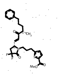 COC(=O)c1ccc(CCCN2C(=O)C(F)(F)C[C@@H]2C=CC(=O)[C@@H](C)CCCc2ccccc2)s1